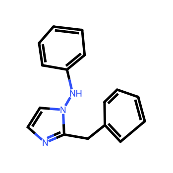 c1ccc(Cc2nccn2Nc2ccccc2)cc1